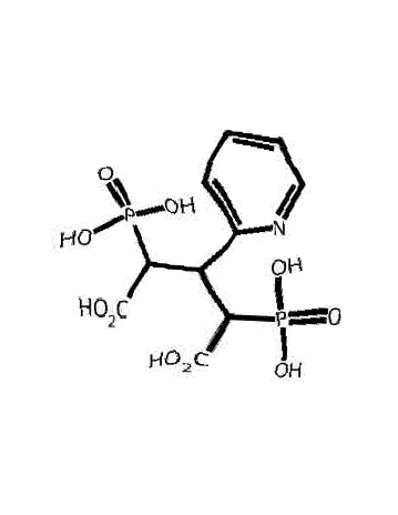 O=C(O)C(C(c1ccccn1)C(C(=O)O)P(=O)(O)O)P(=O)(O)O